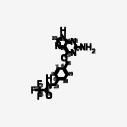 Nc1nc(OCc2ccc(CNC(=O)C(F)(F)F)cc2)c2nc[nH]c2n1